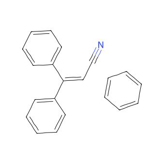 N#CC=C(c1ccccc1)c1ccccc1.c1ccccc1